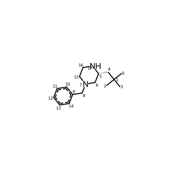 CC(C)(C)C[C@@H]1CN(Cc2ccccc2)CCN1